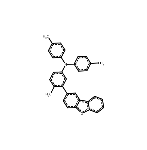 Cc1ccc(N(c2ccc(C)cc2)c2ccc(C)c(-c3ccc4oc5ccccc5c4c3)c2)cc1